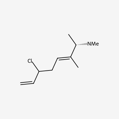 C=CC(Cl)C/C=C(\C)[C@H](C)NC